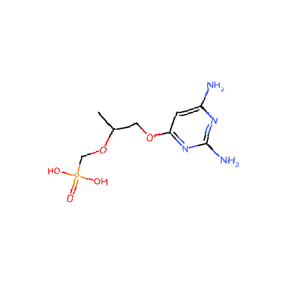 CC(COc1cc(N)nc(N)n1)OCP(=O)(O)O